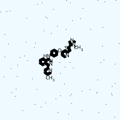 Cc1ccc(-c2nnc(Nc3ccc(Oc4ccnc5cc(-c6cncn6C)sc45)cc3)c3ccccc23)nc1